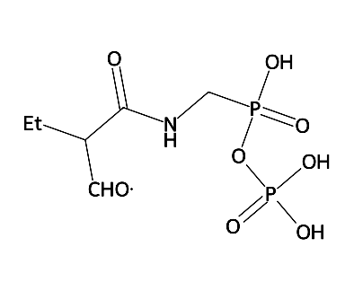 CCC([C]=O)C(=O)NCP(=O)(O)OP(=O)(O)O